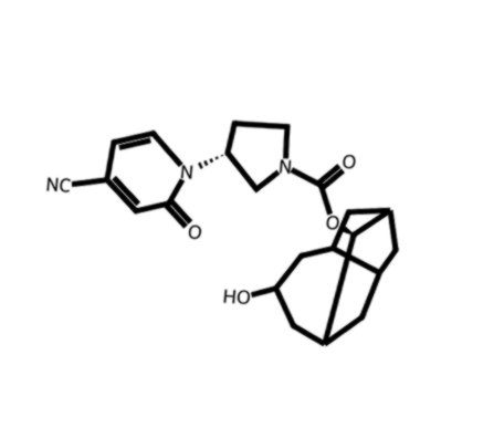 N#Cc1ccn([C@@H]2CCN(C(=O)O[C@@H]3C4CC(O)CC5CC3CC5C4)C2)c(=O)c1